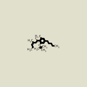 CC/C=C(/C)C[C@H](C)c1c(F)cc(CCCCC)cc1OC(C)(C)C